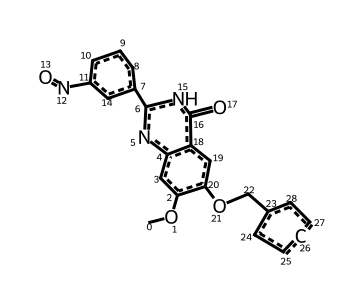 COc1cc2nc(-c3cccc(N=O)c3)[nH]c(=O)c2cc1OCc1ccccc1